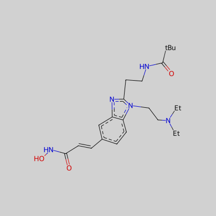 CCN(CC)CCn1c(CCNC(=O)C(C)(C)C)nc2cc(C=CC(=O)NO)ccc21